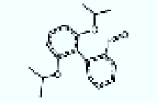 CC(C)Oc1cccc(OC(C)C)c1-c1ccccc1P=O